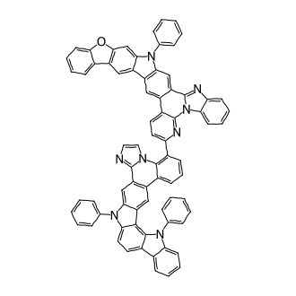 c1ccc(-n2c3cc4oc5ccccc5c4cc3c3cc4c5ccc(-c6cccc7c8cc9c%10c(ccc%11c%12ccccc%12n(-c%12ccccc%12)c%11%10)n(-c%10ccccc%10)c9cc8c8nccn8c67)nc5n5c6ccccc6nc5c4cc32)cc1